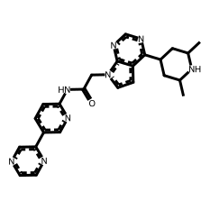 CC1CC(c2ncnc3c2ccn3CC(=O)Nc2ccc(-c3cnccn3)cn2)CC(C)N1